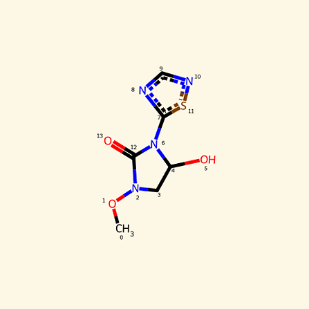 CON1CC(O)N(c2ncns2)C1=O